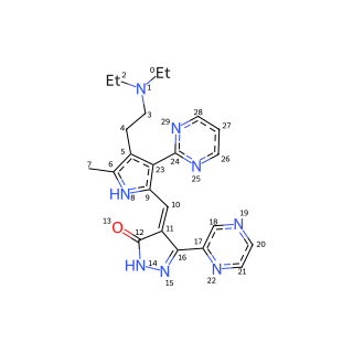 CCN(CC)CCc1c(C)[nH]c(C=C2C(=O)NN=C2c2cnccn2)c1-c1ncccn1